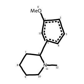 COc1cccc(C2CCCCN2C)c1